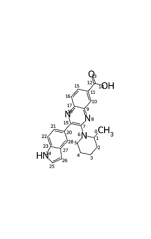 CC1CCCCN1c1nc2cc(C(=O)O)ccc2nc1-c1ccc2[nH]ccc2c1